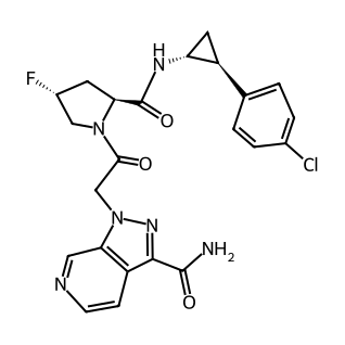 NC(=O)c1nn(CC(=O)N2C[C@H](F)C[C@H]2C(=O)N[C@@H]2C[C@H]2c2ccc(Cl)cc2)c2cnccc12